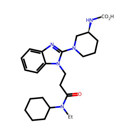 CCN(C(=O)CCn1c(N2CCC[C@H](NC(=O)O)C2)nc2ccccc21)C1CCCCC1